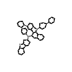 c1ccc(-c2ccc(-n3c4ccc(-c5ccccc5)cc4c4c(N(c5ccccc5)c5ccc6c(c5)sc5ccccc56)cc5ccccc5c43)cc2)cc1